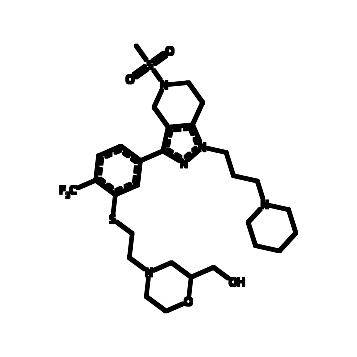 CS(=O)(=O)N1CCc2c(c(-c3ccc(C(F)(F)F)c(SCCN4CCOC(CO)C4)c3)nn2CCCN2CCCCC2)C1